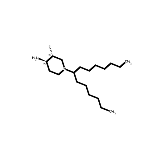 CCCCCCCC(CCCCCC)N1CC[C@@H](N)[C@H](F)C1